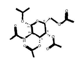 CC(=O)N[C@H]1[C@H](OC(C)C)O[C@H](COC(C)=O)[C@H](OC(C)=O)[C@@H]1OC(C)=O